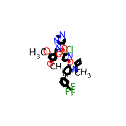 COc1ccc(CN(c2ccncn2)S(=O)(=O)c2ccc(O[C@H]3CC[C@H](c4cccc(C(F)(F)F)c4)C[C@@H]3N(C)C3CCC3)nc2Cl)c(OC)c1